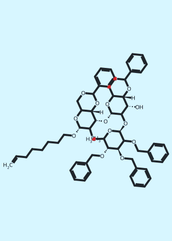 C=CCCCCCCO[C@@H]1OC2COC(c3ccccc3)O[C@@H]2[C@H](O[C@@H]2OC3COC(c4ccccc4)O[C@@H]3[C@H](O)C2O[C@@H]2OC(C)[C@@H](OCc3ccccc3)[C@H](OCc3ccccc3)C2OCc2ccccc2)C1C